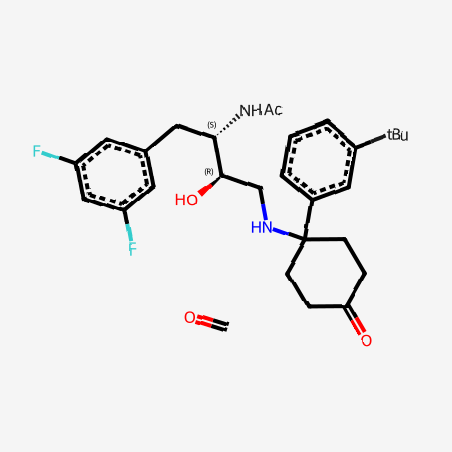 C=O.CC(=O)N[C@@H](Cc1cc(F)cc(F)c1)[C@H](O)CNC1(c2cccc(C(C)(C)C)c2)CCC(=O)CC1